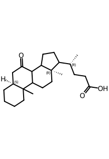 C[C@H](CCC(=O)O)C1CCC2C3C(=O)C[C@@H]4CCCCC4(C)C3CC[C@@]21C